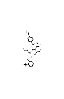 CCCCNC(=S)N(Cc1ccccc1C(F)(F)F)C[C@@H](NC(=O)Cc1cncn1Cc1ccc(C#N)cc1)[C@@H](C)CC